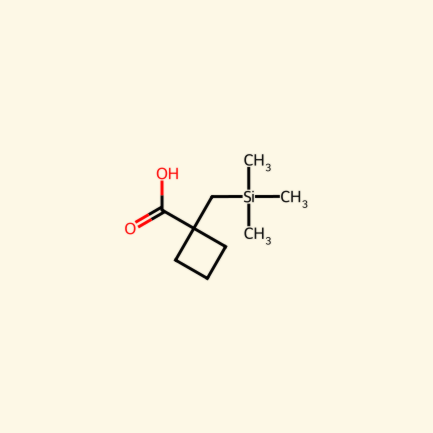 C[Si](C)(C)CC1(C(=O)O)CCC1